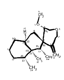 C=C1CO[C@@H](OC)[C@]12C[C@@H]1CCC[C@@H](C)[C@]1(C)[C@H]2O